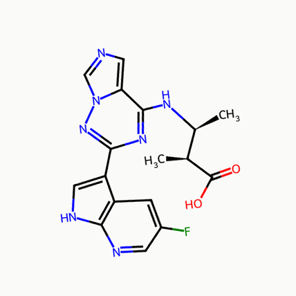 C[C@H](Nc1nc(-c2c[nH]c3ncc(F)cc23)nn2cncc12)[C@H](C)C(=O)O